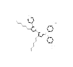 CCCCCCc1cc(-c2sc(N(c3ccc(OC)cc3)c3ccc(OC)cc3)cc2CCCCCC)sc1-c1ccncc1